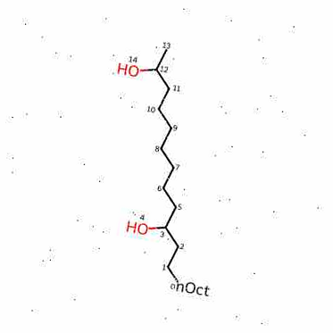 CCCCCCCCCCC(O)CCCCCCCC(C)O